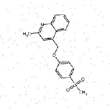 Cc1cc(COc2ccc(S(C)(=O)=O)cc2)c2ccccc2n1